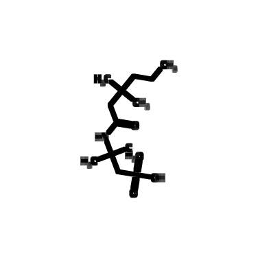 CCCC(C)(C)CC(=O)NC(C)(C)CS(=O)(=O)O